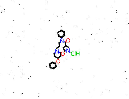 CN1CC(C(=O)N(CCCN2CCC(Oc3ccccc3)CC2)c2ccccc2)CC1=O.Cl